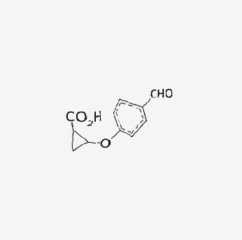 O=Cc1ccc(OC2CC2C(=O)O)cc1